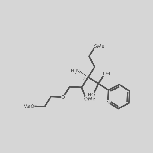 COCCOCC(OC)[C@@](N)(CCSC)C(O)(O)c1ccccn1